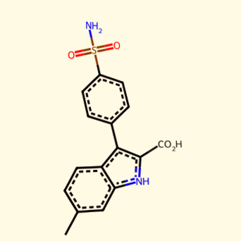 Cc1ccc2c(-c3ccc(S(N)(=O)=O)cc3)c(C(=O)O)[nH]c2c1